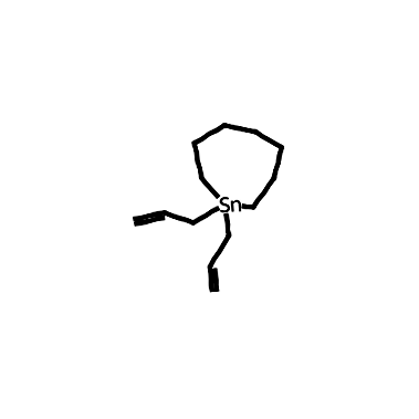 C=C[CH2][Sn]1([CH2]C=C)[CH2]CCCCC[CH2]1